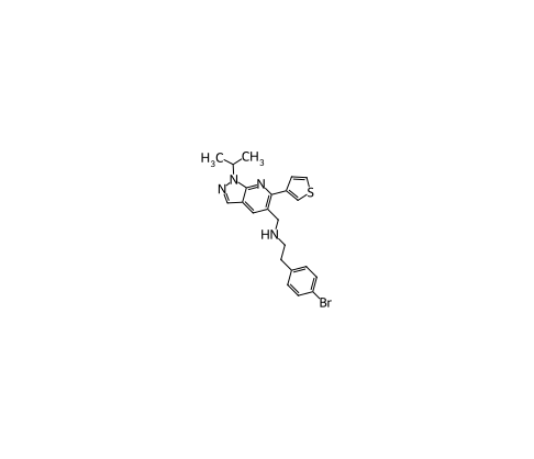 CC(C)n1ncc2cc(CNCCc3ccc(Br)cc3)c(-c3ccsc3)nc21